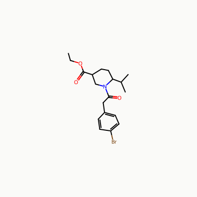 CCOC(=O)C1CCC(C(C)C)N(C(=O)Cc2ccc(Br)cc2)C1